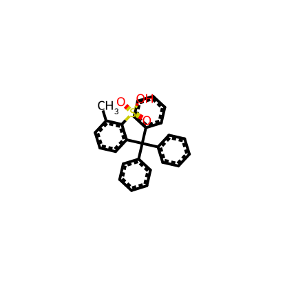 Cc1cccc(C(c2ccccc2)(c2ccccc2)c2ccccc2)c1S(=O)(=O)O